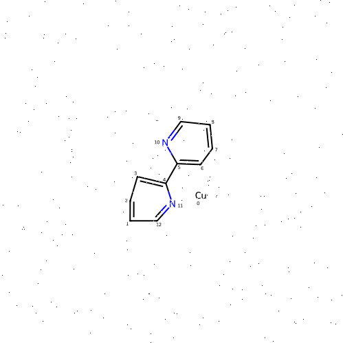 [Cu].c1ccc(-c2ccccn2)nc1